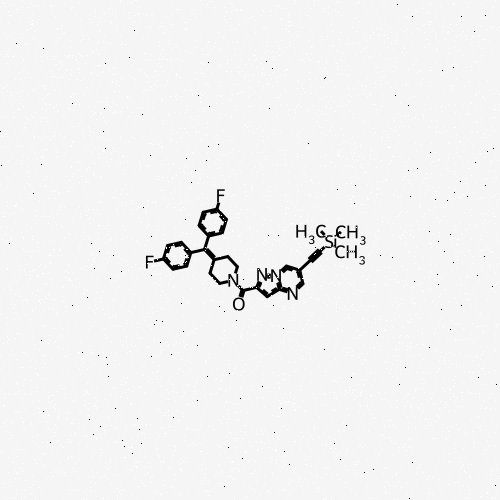 C[Si](C)(C)C#Cc1cnc2cc(C(=O)N3CCC(=C(c4ccc(F)cc4)c4ccc(F)cc4)CC3)nn2c1